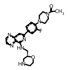 CC(=O)N1CCN(c2ccc(-c3cc4nccnc4c(NC[C@@H]4CNCCO4)n3)cc2F)CC1